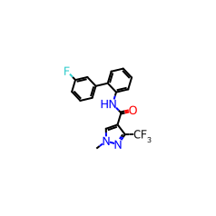 Cn1cc(C(=O)Nc2ccccc2-c2cccc(F)c2)c(C(F)(F)F)n1